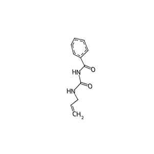 C=CCNC(=O)NC(=O)c1ccccc1